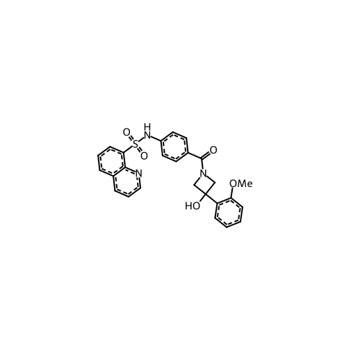 COc1ccccc1C1(O)CN(C(=O)c2ccc(NS(=O)(=O)c3cccc4cccnc34)cc2)C1